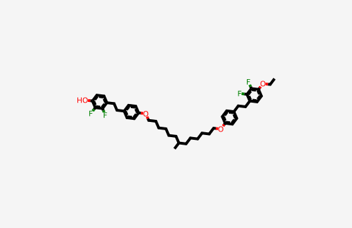 CCOc1ccc(CCc2ccc(OCCCCCCC(C)CCCCCCOc3ccc(CCc4ccc(O)c(F)c4F)cc3)cc2)c(F)c1F